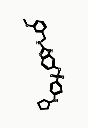 COc1cccc(CNc2nc3ccc(OS(=O)(=O)c4ccc(NC5CCCC5)cc4)cc3[nH]2)c1